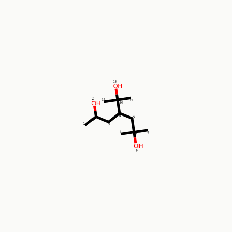 CC(O)CC(CC(C)(C)O)C(C)(C)O